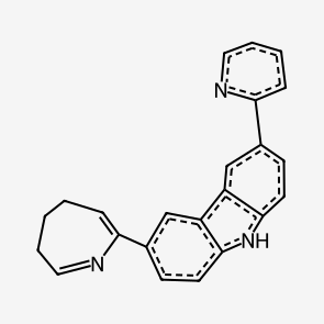 C1=NC(c2ccc3[nH]c4ccc(-c5ccccn5)cc4c3c2)=CCCC1